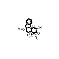 CO[C@@]1(Cc2ccccc2)CC[C@H]2C(C)(C)C(=O)C(C#N)=C[C@]2(C)C1